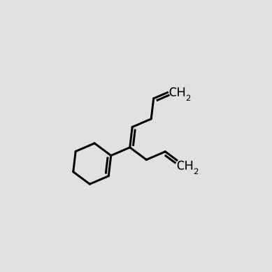 C=CCC=C(CC=C)C1=CCCCC1